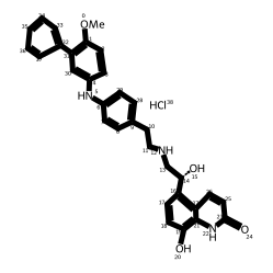 COc1ccc(Nc2ccc(CCNC[C@H](O)c3ccc(O)c4[nH]c(=O)ccc34)cc2)cc1-c1ccccc1.Cl